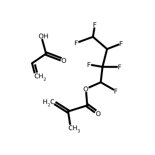 C=C(C)C(=O)OC(F)C(F)(F)C(F)C(F)F.C=CC(=O)O